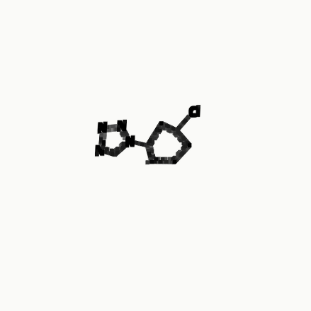 Clc1cc[c]c(-n2cnnn2)c1